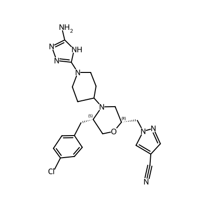 N#Cc1cnn(C[C@H]2CN(C3CCN(c4nnc(N)[nH]4)CC3)[C@@H](Cc3ccc(Cl)cc3)CO2)c1